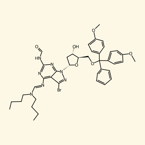 CCCCN(C=Nc1nc(NC=O)nc2c1c(Br)nn2[C@@H]1C[C@H](O)[C@@H](COC(c2ccccc2)(c2ccc(OC)cc2)c2ccc(OC)cc2)O1)CCCC